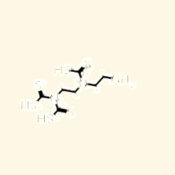 NCCN(CCN(C(=S)S)C(=S)S)C(=S)S